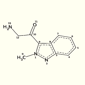 Cn1nc2ccccc2c1C(=O)CN